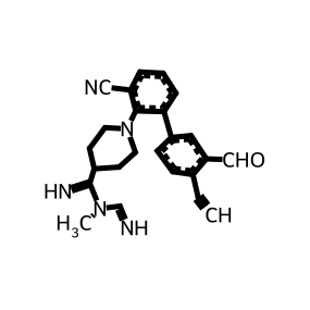 C#Cc1ccc(-c2cccc(C#N)c2N2CCC(C(=N)N(C)C=N)CC2)cc1C=O